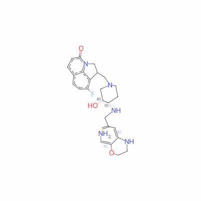 C=C(/C=C1/NCCO/C1=C/N)CN[C@H]1CCN(CC2Cn3c(=O)ccc4ccc(F)c2c43)C[C@H]1O